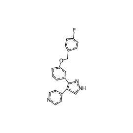 Fc1ccc(COc2cccc(-c3n[nH]cc3-c3ccncc3)c2)cc1